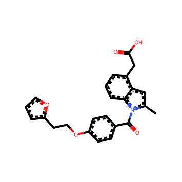 Cc1cc2c(CC(=O)O)cccc2n1C(=O)c1ccc(OCCc2ccco2)cc1